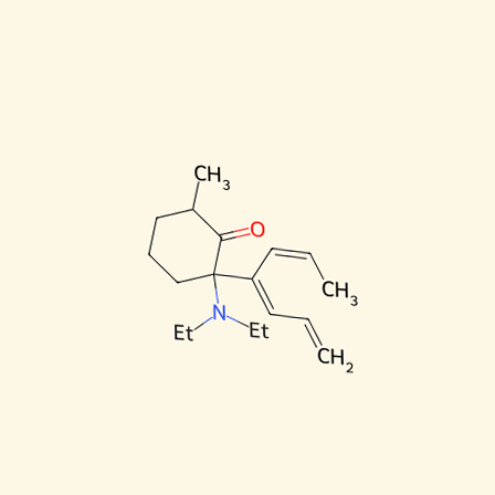 C=C/C=C(\C=C/C)C1(N(CC)CC)CCCC(C)C1=O